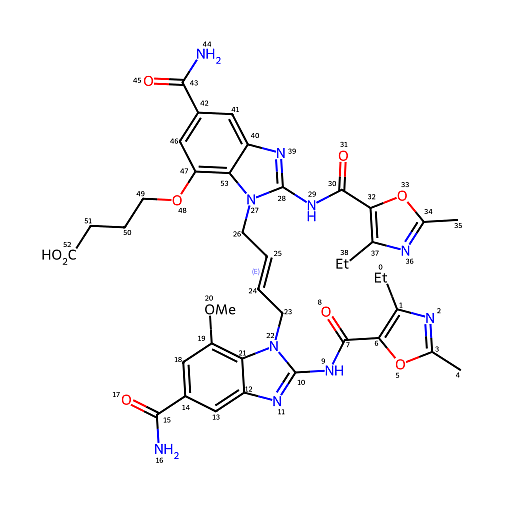 CCc1nc(C)oc1C(=O)Nc1nc2cc(C(N)=O)cc(OC)c2n1C/C=C/Cn1c(NC(=O)c2oc(C)nc2CC)nc2cc(C(N)=O)cc(OCCCC(=O)O)c21